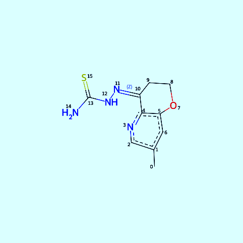 Cc1cnc2c(c1)OCC/C2=N/NC(N)=S